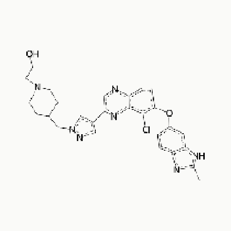 Cc1nc2ccc(Oc3ccc4ncc(-c5cnn(CC6CCN(CCO)CC6)c5)nc4c3Cl)cc2[nH]1